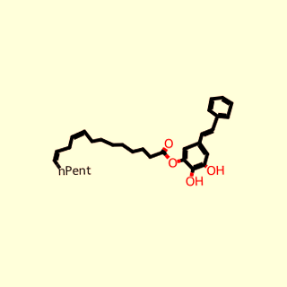 CCCCC/C=C\C/C=C\CCCCCCCC(=O)Oc1cc(C=Cc2ccccc2)cc(O)c1O